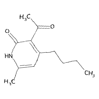 CCCCc1cc(C)[nH]c(=O)c1C(C)=O